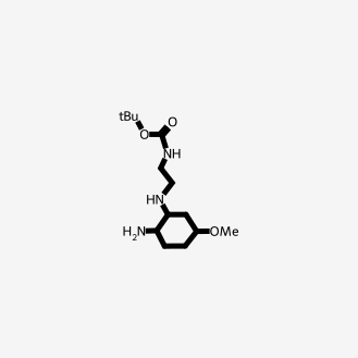 COC1CCC(N)C(NCCNC(=O)OC(C)(C)C)C1